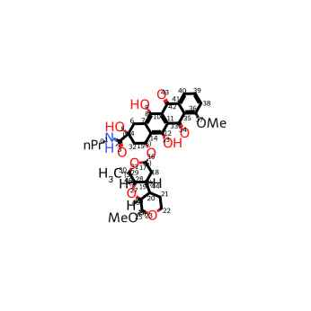 CCCNC(=O)[C@]1(O)Cc2c(O)c3c(c(O)c2[C@@H](O[C@@H]2C[C@@H]4C5CCO[C@H](OC)[C@H]5O[C@@H]4[C@H](C)O2)C1)C(=O)c1c(OC)cccc1C3=O